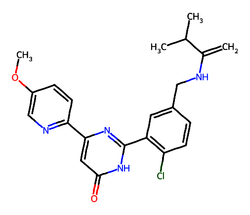 C=C(NCc1ccc(Cl)c(-c2nc(-c3ccc(OC)cn3)cc(=O)[nH]2)c1)C(C)C